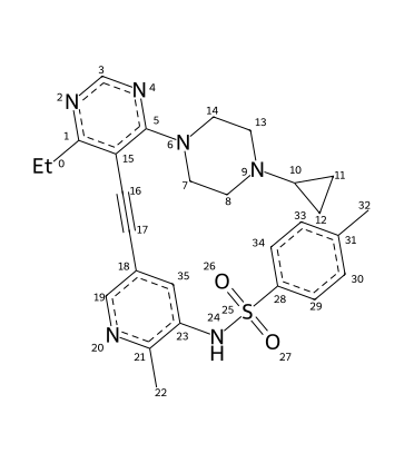 CCc1ncnc(N2CCN(C3CC3)CC2)c1C#Cc1cnc(C)c(NS(=O)(=O)c2ccc(C)cc2)c1